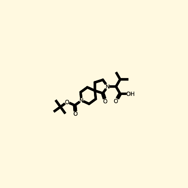 CC(C)C(C(=O)O)N1CCC2(CCN(C(=O)OC(C)(C)C)CC2)C1=O